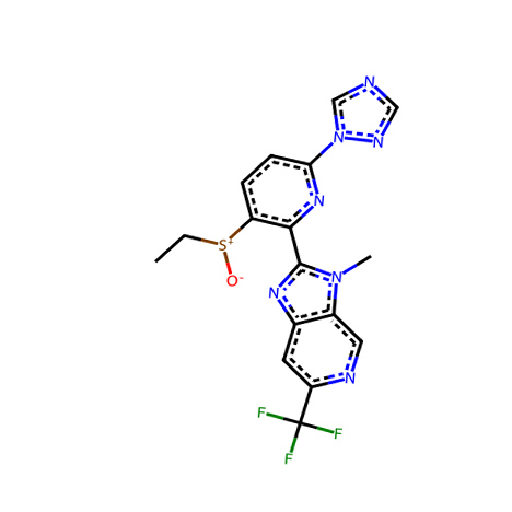 CC[S+]([O-])c1ccc(-n2cncn2)nc1-c1nc2cc(C(F)(F)F)ncc2n1C